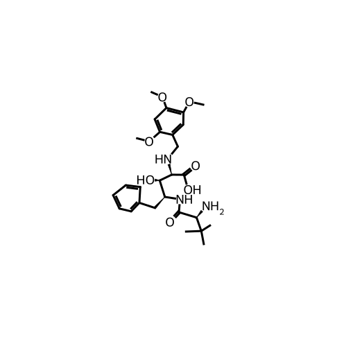 COc1cc(OC)c(OC)cc1CN[C@@H](C(=O)O)[C@H](O)[C@H](Cc1ccccc1)NC(=O)[C@@H](N)C(C)(C)C